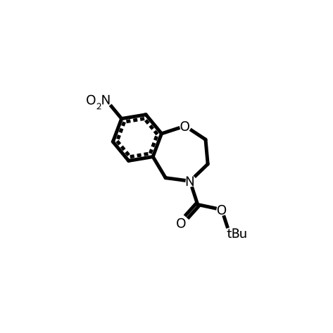 CC(C)(C)OC(=O)N1CCOc2cc([N+](=O)[O-])ccc2C1